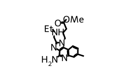 CCNCc1nc2c(N)nc3cc(C)ccc3c2n1CCCC(=O)OC